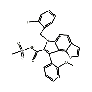 COc1ncccc1-c1c(C(=O)NS(C)(=O)=O)n(Cc2ccccc2F)c2ccc3ccoc3c12